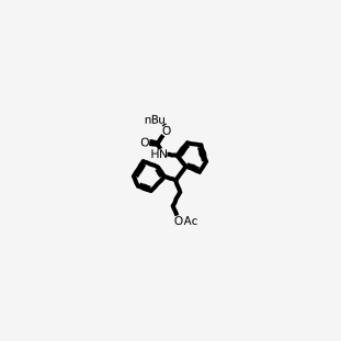 CCCCOC(=O)Nc1ccccc1C(CCOC(C)=O)c1ccccc1